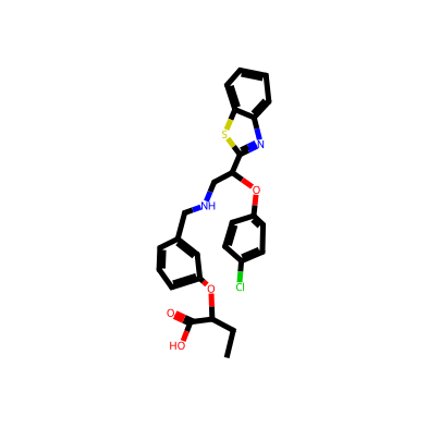 CCC(Oc1cccc(CNCC(Oc2ccc(Cl)cc2)c2nc3ccccc3s2)c1)C(=O)O